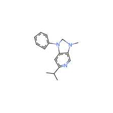 CC(C)c1cc2c(cn1)N(C)CN2c1ccccc1